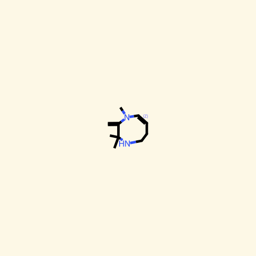 C=C1N(C)/C=C\CCNC1(C)C